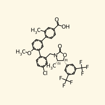 COc1ccc(-c2ccc(C(=O)O)cc2C)cc1-c1ccc(Cl)cc1CN1C(=O)O[C@H](c2cc(C(F)(F)F)cc(C(F)(F)F)c2)[C@@H]1C